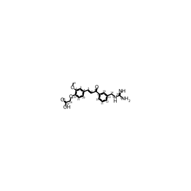 COc1cc(/C=C/C(=O)c2cccc(CNC(=N)N)c2)ccc1OCC(=O)O